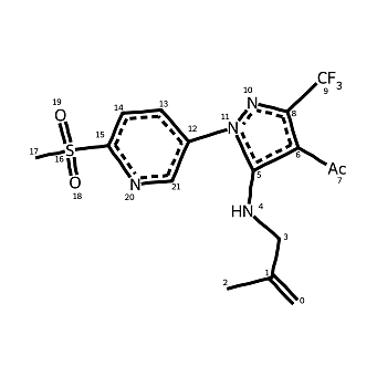 C=C(C)CNc1c(C(C)=O)c(C(F)(F)F)nn1-c1ccc(S(C)(=O)=O)nc1